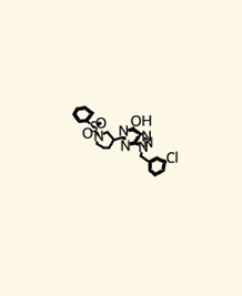 O=S(=O)(c1ccccc1)N1CCCC(c2nc(O)c3nnn(Cc4cccc(Cl)c4)c3n2)C1